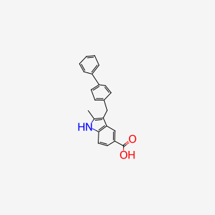 Cc1[nH]c2ccc(C(=O)O)cc2c1Cc1ccc(-c2ccccc2)cc1